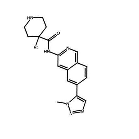 CCC1(C(=O)Nc2cc3cc(-c4cnnn4C)ccc3cn2)CCNCC1